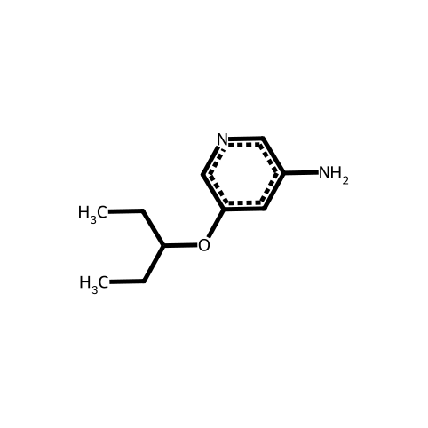 CCC(CC)Oc1cncc(N)c1